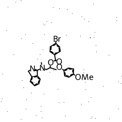 COc1ccc(OCC(CN(C)C2=NCc3ccccc32)OC(=O)c2ccc(Br)cc2)cc1